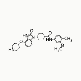 COc1cc(NC(=O)C2CCC(n3c(=O)[nH]c4c(OC5CCNCC5)cccc43)CC2)ccc1C